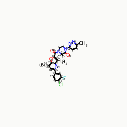 Cc1ccc(N2CCN(C(=O)c3cc4nc(-c5ccc(Cl)c(F)c5)cc(C(C)(C)C)c4o3)C(C)(C)C2=O)nn1